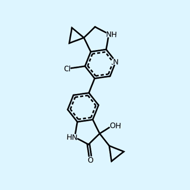 O=C1Nc2ccc(-c3cnc4c(c3Cl)C3(CC3)CN4)cc2C1(O)C1CC1